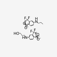 CCCNc1ccc([N+](=O)[O-])c(C(F)(F)F)c1.O=[N+]([O-])c1ccc(NCCCO)cc1C(F)(F)F